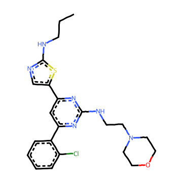 CCCNc1ncc(-c2cc(-c3ccccc3Cl)nc(NCCN3CCOCC3)n2)s1